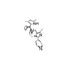 Cc1cc(C)c(C(=O)N2CCn3c(-c4ccncc4)nc(C)c3C2)[nH]1